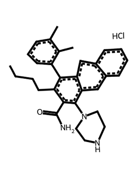 CCCCc1c(C(N)=O)c(N2CCNCC2)c2cc3ccccc3cc2c1-c1cccc(C)c1C.Cl